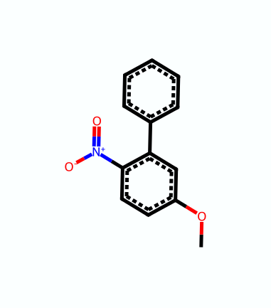 COc1ccc([N+](=O)[O-])c(-c2ccccc2)c1